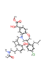 CCCc1cc(Cl)ccc1C1COc2ccc(C(O)C(=O)OC)cc2N(CC2CCC2C(O)/C=C\CCCN(C)C(C)=O)C1